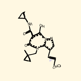 CC1(Cn2c(=O)c(C(=O)NC3CC3)c(O)n3ncc(/C=C/C=O)c23)CC1